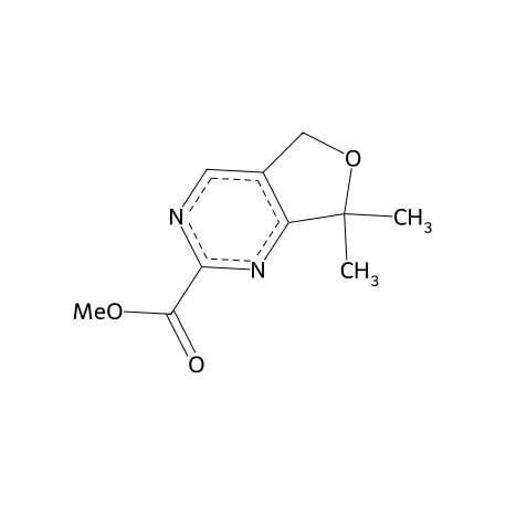 COC(=O)c1ncc2c(n1)C(C)(C)OC2